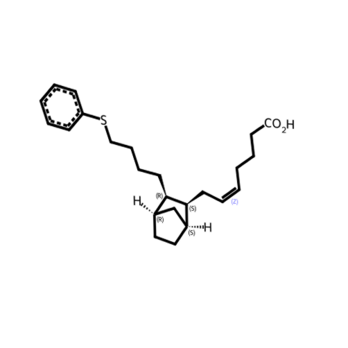 O=C(O)CCC/C=C\C[C@H]1[C@H]2CC[C@H](C2)[C@H]1CCCCSc1ccccc1